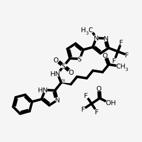 CC(=O)CCCCC[C@H](NS(=O)(=O)c1ccc(-c2cc(C(F)(F)F)nn2C)s1)c1ncc(-c2ccccc2)[nH]1.O=C(O)C(F)(F)F